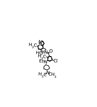 CCN(c1cc(Cl)cc(C(=O)NCc2c(O)cc(C)n3nccc23)c1C)[C@H]1CC[C@H](N(C)C)CC1